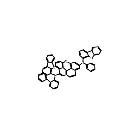 c1ccc(-c2ccccc2N(c2cc3ccc4cc(N(c5ccccc5)c5cccc6c5oc5ccccc56)cc5c4c3c3c(cccc23)O5)c2cccc3c2oc2ccccc23)cc1